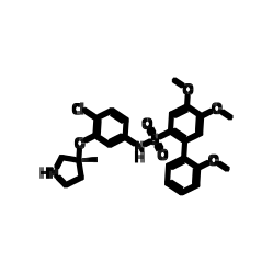 COc1cc(-c2ccccc2OC)c(S(=O)(=O)Nc2ccc(Cl)c(O[C@]3(C)CCNC3)c2)cc1OC